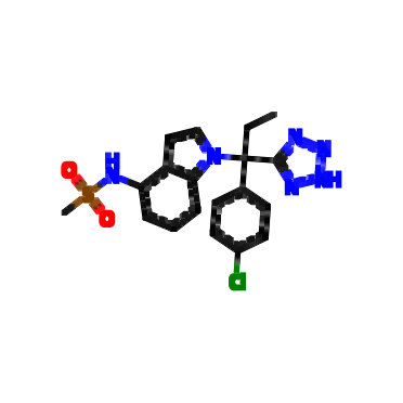 CCC(c1ccc(Cl)cc1)(c1nn[nH]n1)n1ccc2c(NS(C)(=O)=O)cccc21